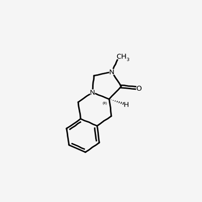 CN1CN2Cc3ccccc3C[C@@H]2C1=O